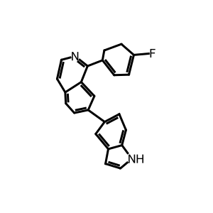 FC1=CC=C(c2nccc3ccc(-c4ccc5[nH]ccc5c4)cc23)CC1